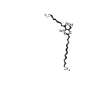 CCCCCCCCCCCCCC(=O)OC(CO)C(O)C(=O)CCCCCCC